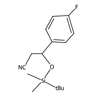 CC(C)(C)[Si](C)(C)OC(CC#N)c1ccc(F)cc1